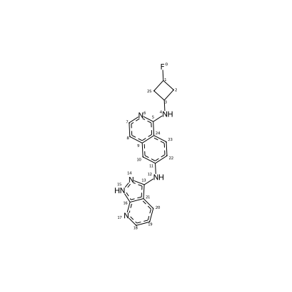 FC1CC(Nc2nccc3cc(Nc4n[nH]c5ncccc45)ccc23)C1